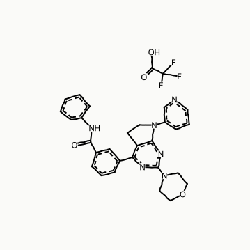 O=C(Nc1ccccc1)c1cccc(-c2nc(N3CCOCC3)nc3c2CCN3c2cccnc2)c1.O=C(O)C(F)(F)F